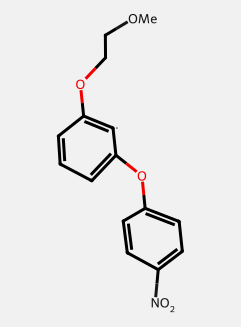 COCCOc1[c]c(Oc2ccc([N+](=O)[O-])cc2)ccc1